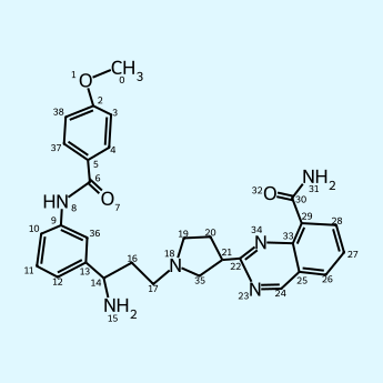 COc1ccc(C(=O)Nc2cccc(C(N)CCN3CCC(c4ncc5cccc(C(N)=O)c5n4)C3)c2)cc1